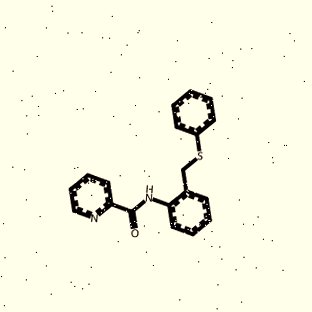 O=C(Nc1ccccc1CSc1ccccc1)c1ccccn1